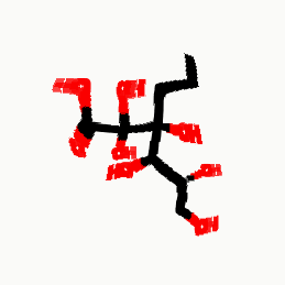 CCC[C@](O)([C@H](O)[C@H](O)CO)C(O)(O)C(=O)O